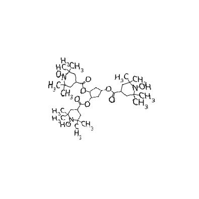 CC1(C)CC(C(=O)OC2CC(OC(=O)C3CC(C)(C)N(O)C(C)(C)C3)C(OC(=O)C3CC(C)(C)N(O)C(C)(C)C3)C2)CC(C)(C)N1O